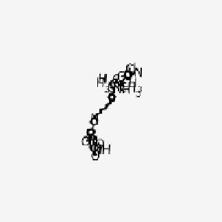 CC1(C)[C@H](NC(=O)c2ccc(CCCCCCN3CCC(c4ccc5c(c4)CN(C4CCC(=O)NC4=O)C5=O)CC3)cc2)C(C)(C)[C@H]1Oc1ccc(C#N)c(Cl)c1